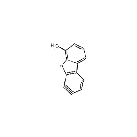 Cc1cccc2c1oc1c#cccc12